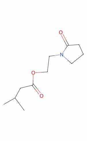 CC(C)CC(=O)OCCN1CCCC1=O